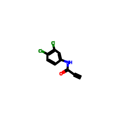 C#CC(=O)Nc1ccc(Cl)c(Cl)c1